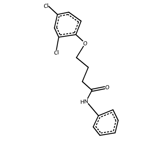 O=C(CCCOc1ccc(Cl)cc1Cl)Nc1ccccc1